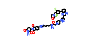 O=C(CN1CCC(n2cc(-c3cnc4cccc(-c5cc(F)c(CN6CCOCC6)c(F)c5)c4n3)cn2)CC1)NCCCCCCNc1ccc2c(c1)C(=O)N(C1CCC(=O)NC1=O)C2=O